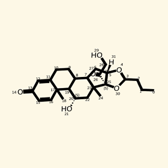 CCCC1O[C@H]2CC3C4CCC5=CC(=O)C=CC5(C)C4[C@@H](O)CC3(C)[C@]2(C(=O)CO)O1